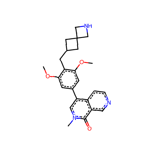 COc1cc(-c2cn(C)c(=O)c3cnccc23)cc(OC)c1CC1CC2(CNC2)C1